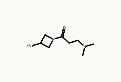 CN(C)CCC(=O)N1CC(C(C)(C)C)C1